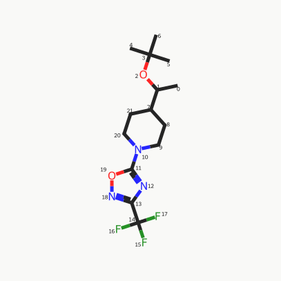 CC(OC(C)(C)C)C1CCN(c2nc(C(F)(F)F)no2)CC1